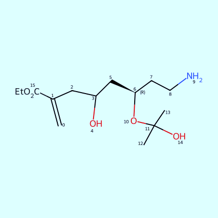 C=C(CC(O)C[C@@H](CCN)OC(C)(C)O)C(=O)OCC